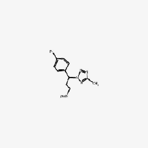 CNCCC(c1ccc(C(C)C)cc1)n1nnc(C)n1